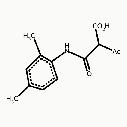 CC(=O)C(C(=O)O)C(=O)Nc1ccc(C)cc1C